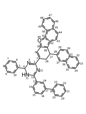 C1=C(C2=NC(c3ccccc3)NC(c3cccc(-c4ccccc4)c3)=N2)CC(c2ccc3ccccc3c2)c2c1oc1c2ccc2ccccc21